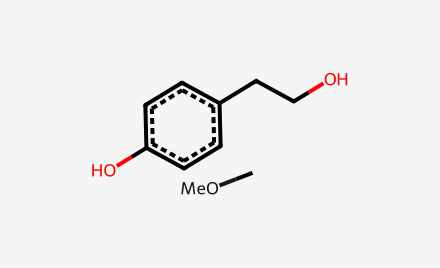 COC.OCCc1ccc(O)cc1